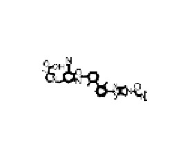 Cc1c(-c2nc3cc(CN4CC[C@@](C)(C(=O)O)C4)cc(C#N)c3o2)cccc1-c1cccc(-c2nc3c(s2)CN(C(=O)CN(C)C)C3)c1C